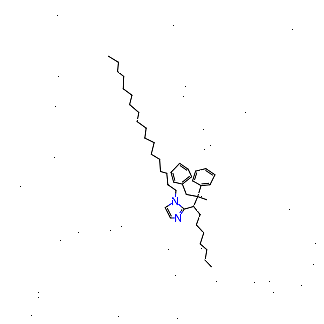 CCCCCCCCCCCCCCCCCCn1ccnc1C(CCCCCCC)C(C)(Cc1ccccc1)c1ccccc1